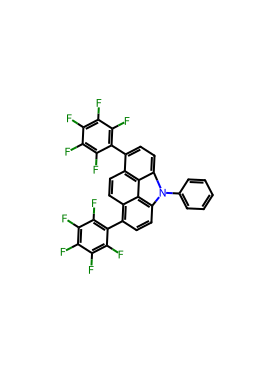 Fc1c(F)c(F)c(-c2ccc3c4c2ccc2c(-c5c(F)c(F)c(F)c(F)c5F)ccc(c24)n3-c2ccccc2)c(F)c1F